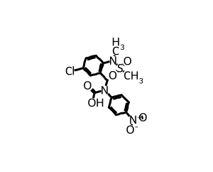 CN(c1ccc(Cl)cc1CN(C(=O)O)c1ccc([N+](=O)[O-])cc1)S(C)(=O)=O